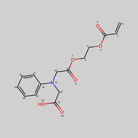 C=CC(=O)OCCOC(=O)CN(CC(=O)O)c1ccccc1